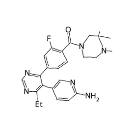 CCc1ncnc(-c2ccc(C(=O)N3CCN(C)C(C)(C)C3)c(F)c2)c1-c1ccc(N)nc1